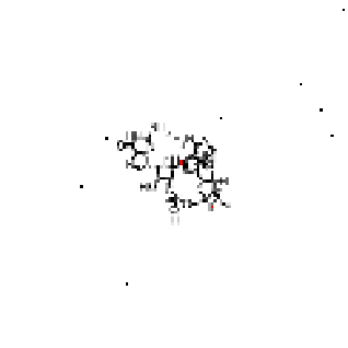 Nc1nc2c(ncn2[C@@H]2O[C@@H]3COP(O)(=S)O[C@H]4[C@H](n5ccc6c(N)ncnc65)O[C@H](COP(O)(=S)O[C@H]3[C@H]2O)[C@]42CC2(F)F)c(=O)[nH]1